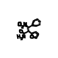 NC(=O)C(=C(c1ccccc1)[N+](=O)[O-])c1ccco1